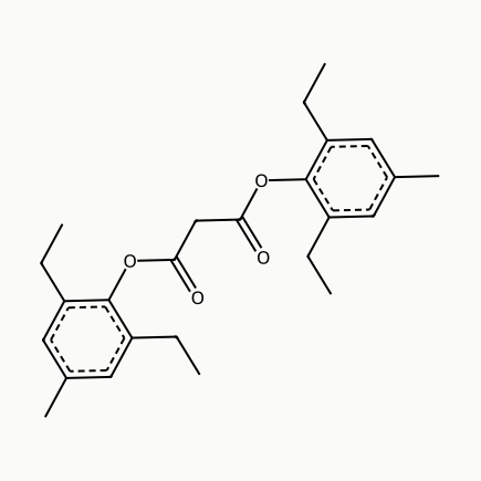 CCc1cc(C)cc(CC)c1OC(=O)CC(=O)Oc1c(CC)cc(C)cc1CC